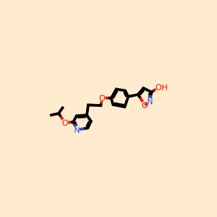 CC(C)Oc1cc(CCOc2ccc(-c3cc(O)no3)cc2)ccn1